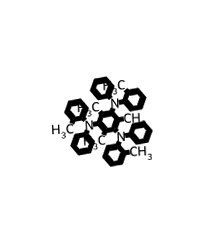 Cc1ccccc1N(c1ccccc1)c1c(C)c(N(c2ccccc2)c2ccccc2C)c(C)c(N(c2ccccc2)c2ccccc2C)c1C